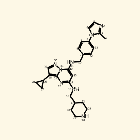 Cc1nccn1-c1ccc(CNc2cc(NCC3CCNCC3)nc3c(C4CC4)cnn23)cc1